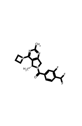 Cc1nc2c(c(N3CCC3)n1)[C@@H](C)N(C(=O)c1ccc(C(F)F)c(F)c1)C2